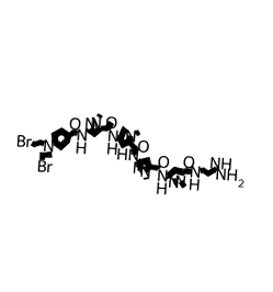 Cn1cc(NC(=O)c2cc(NC(=O)c3ccc(N(CCBr)CCBr)cc3)nn2C)cc1C(=O)Nc1cc(C(=O)Nc2cc(C(=O)NCCC(=N)N)n(C)n2)n(C)n1